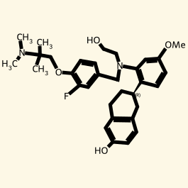 COc1ccc([C@@H]2CCc3cc(O)ccc3C2)c(N(CCO)Cc2ccc(OCC(C)(C)N(C)C)c(F)c2)c1